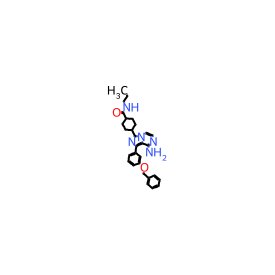 CCCNC(=O)C1CCC(c2nc(-c3cccc(OCc4ccccc4)c3)c3c(N)nccn23)CC1